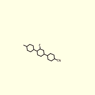 CC1CCC(C2CCC(C3CCC(C#N)CC3)CC2F)CC1